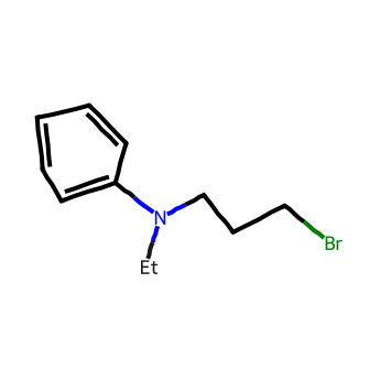 CCN(CCCBr)c1ccccc1